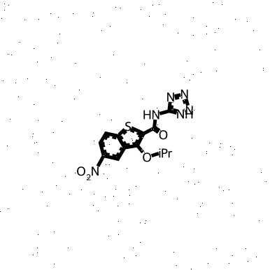 CC(C)Oc1c(C(=O)Nc2nnn[nH]2)sc2ccc([N+](=O)[O-])cc12